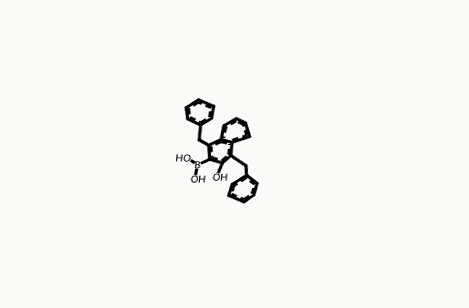 OB(O)c1c(O)c(Cc2ccccc2)c2ccccc2c1Cc1ccccc1